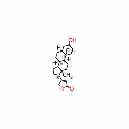 C[C@]12CC[C@H](O)C[C@H]1CC[C@H]1C3CC[C@H](C4=CC(=O)OC4)[C@@]3(C)CC[C@@H]12